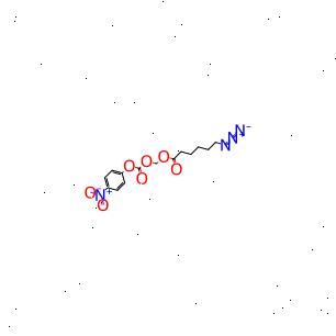 [N-]=[N+]=NCCCCCC(=O)OCOC(=O)Oc1ccc([N+](=O)[O-])cc1